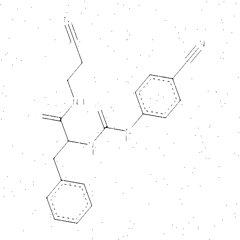 N#CCCNC(=O)C(Cc1ccccc1)NC(=O)Nc1ccc(C#N)cc1